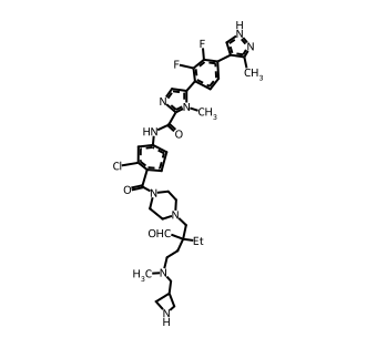 CCC(C=O)(CCN(C)CC1CNC1)CN1CCN(C(=O)c2ccc(NC(=O)c3ncc(-c4ccc(-c5c[nH]nc5C)c(F)c4F)n3C)cc2Cl)CC1